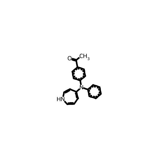 CC(=O)c1ccc(N(C2=CC=CNC=C2)c2ccccc2)cc1